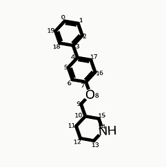 c1ccc(-c2ccc(OCC3CCCNC3)cc2)cc1